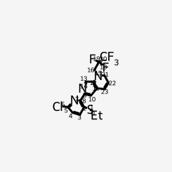 CCSc1ccc(Cl)nc1-c1cc2c(cn1)N(CC(F)(F)C(F)(F)F)CC=C2